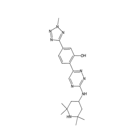 Cn1nnc(-c2ccc(-c3cnc(NC4CC(C)(C)NC(C)(C)C4)nn3)c(O)c2)n1